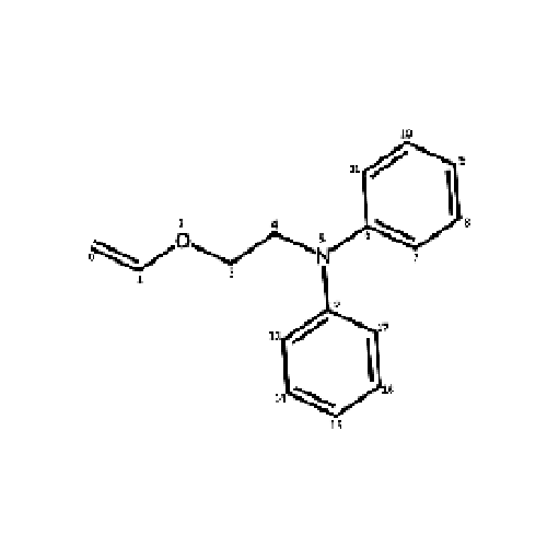 C=COCCN(c1ccccc1)c1ccccc1